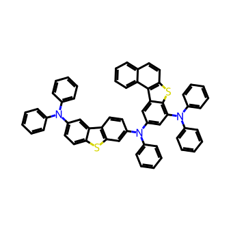 c1ccc(N(c2ccccc2)c2ccc3sc4cc(N(c5ccccc5)c5cc(N(c6ccccc6)c6ccccc6)c6sc7ccc8ccccc8c7c6c5)ccc4c3c2)cc1